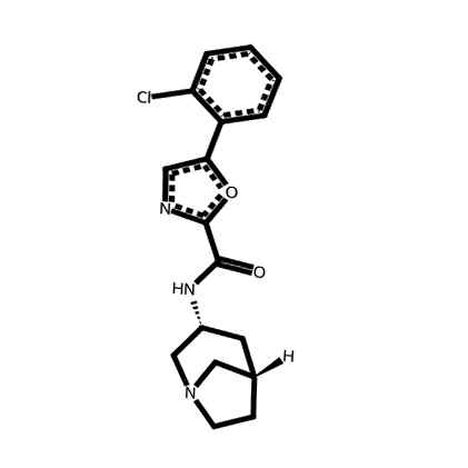 O=C(N[C@@H]1C[C@@H]2CCN(C2)C1)c1ncc(-c2ccccc2Cl)o1